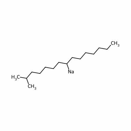 CCCCCCC[CH]([Na])CCCCCC(C)C